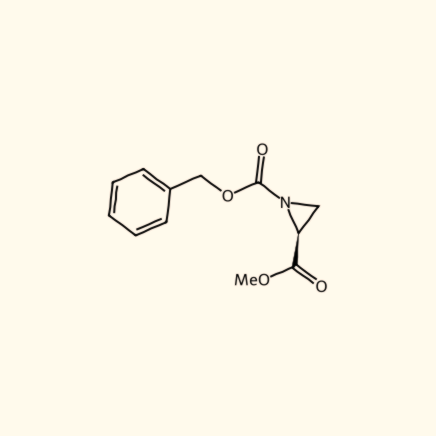 COC(=O)[C@@H]1CN1C(=O)OCc1ccccc1